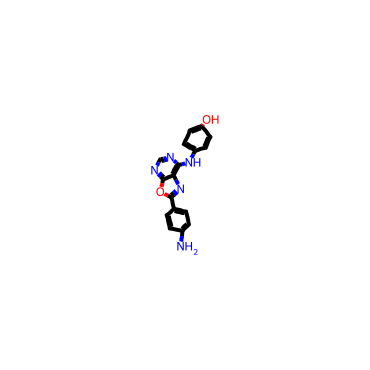 Nc1ccc(-c2nc3c(Nc4ccc(O)cc4)ncnc3o2)cc1